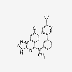 CN(C1=NC2NN=NN2c2cc(Cl)ccc21)c1cccc(-c2cnc(C3CC3)cn2)c1